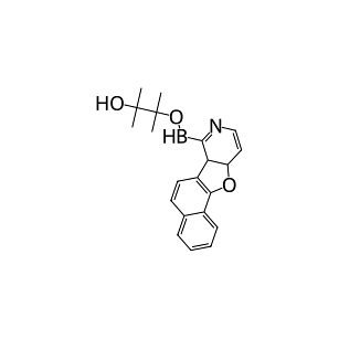 CC(C)(O)C(C)(C)OBC1=NC=CC2Oc3c(ccc4ccccc34)C12